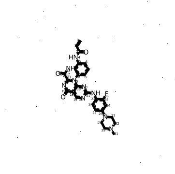 C=CC(=O)Nc1cccc(-n2c(C(N)=O)nc(=O)c3cnc(Nc4ccc(N5CCN(C)CC5)cc4F)nc32)c1